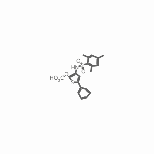 Cc1cc(C)c(S(=O)(=O)Nc2cc(-c3ccccc3)sc2OC(=O)O)c(C)c1